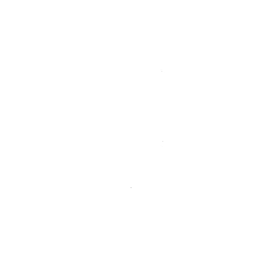 CCC(C)(CC)C1=CC[C]([Zr](=[C](C)C)[CH]2c3ccc(C(C)(C)C)cc3-c3cc(C(C)(C)C)ccc32)=C1